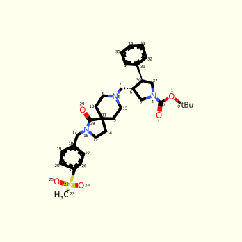 CC(C)(C)OC(=O)N1C[C@H](CN2CCC3(CC2)CCN(Cc2ccc(S(C)(=O)=O)cc2)C3=O)[C@@H](c2ccccc2)C1